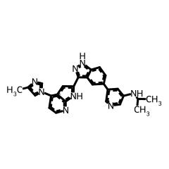 Cc1cn(-c2ccnc3[nH]c(-c4n[nH]c5ccc(-c6cncc(NC(C)C)c6)cc45)cc23)cn1